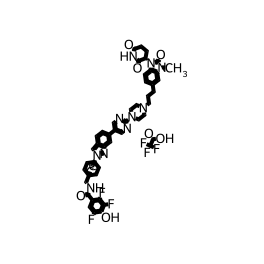 Cn1c(=O)n([C@@H]2CCC(=O)NC2=O)c2ccc(CCCN3CCN(c4ncc(-c5ccc6cn(C78CCC(CNC(=O)c9cc(F)c(O)c(F)c9F)(CC7)CC8)nc6c5)cn4)CC3)cc21.O=C(O)C(F)(F)F